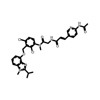 CC(=O)Nc1ccc(/C=C/C(=O)NCC(=O)N(C)c2ccc(Cl)c(COc3cccc4c3nc(C(C)C)n4C)c2Cl)cn1